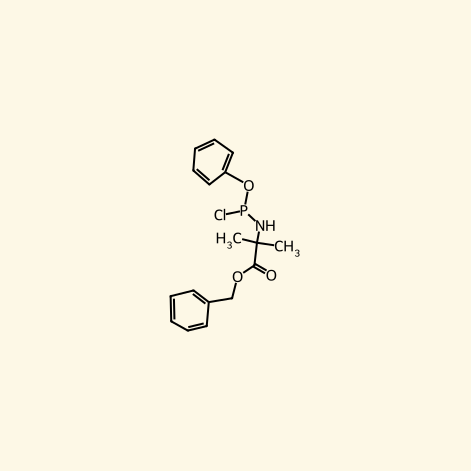 CC(C)(NP(Cl)Oc1ccccc1)C(=O)OCc1ccccc1